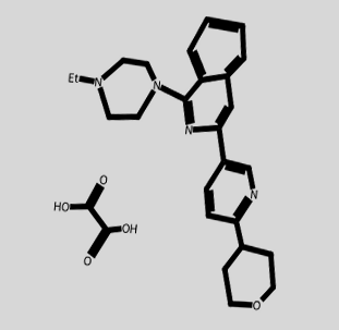 CCN1CCN(c2nc(-c3ccc(C4CCOCC4)nc3)cc3ccccc23)CC1.O=C(O)C(=O)O